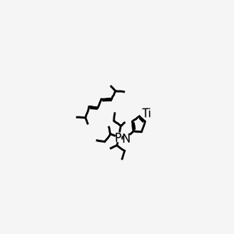 CC(C)C=CC=CC(C)C.CCC(C)P(=NC1=CC=CC1)(C(C)CC)C(C)CC.[Ti]